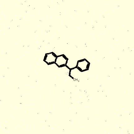 [CH2]CC(c1ccccc1)c1ccc2ccccc2c1